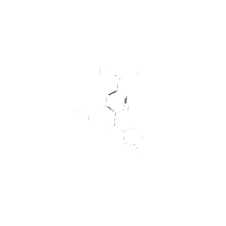 CC(c1ncc(N(C)C)cc1C(=O)O)C1CCNC1.Cl